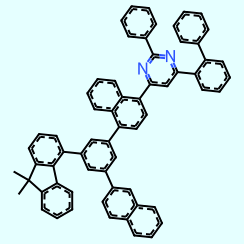 CC1(C)c2ccccc2-c2c(-c3cc(-c4ccc5ccccc5c4)cc(-c4ccc(-c5cc(-c6ccccc6-c6ccccc6)nc(-c6ccccc6)n5)c5ccccc45)c3)cccc21